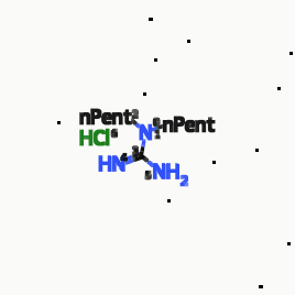 CCCCCN(CCCCC)C(=N)N.Cl